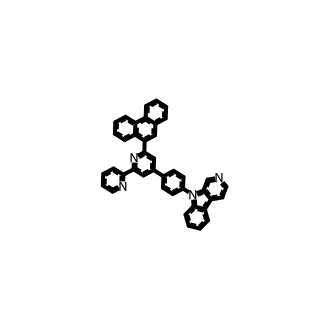 c1ccc(-c2cc(-c3ccc(-n4c5ccccc5c5ccncc54)cc3)cc(-c3cc4ccccc4c4ccccc34)n2)nc1